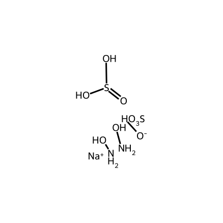 NO.NO.O=S(=O)([O-])O.O=S(O)O.[Na+]